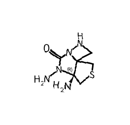 NN1C(=O)N2NCC23CSC[C@]13N